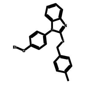 CCOc1ccc(-n2c(SCc3ccc(C)cc3)nc3ccccc32)cc1